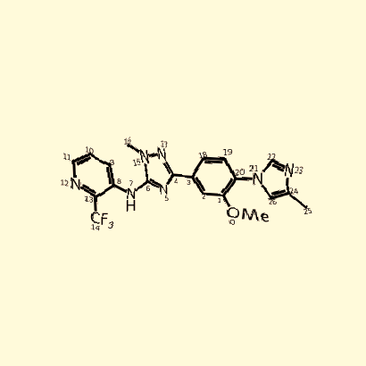 COc1cc(-c2nc(Nc3cccnc3C(F)(F)F)n(C)n2)ccc1-n1cnc(C)c1